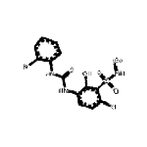 CC(C)(C)NS(=O)(=O)c1c(Cl)ccc(NC(=O)Nc2ccccc2Br)c1O